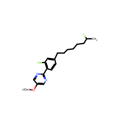 CCCCCCCCCCOc1cnc(-c2ccc(CCCCCCC(C)F)cc2F)nc1